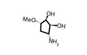 CO[C@H]1C[C@@H](N)[C@H](O)[C@@H]1O